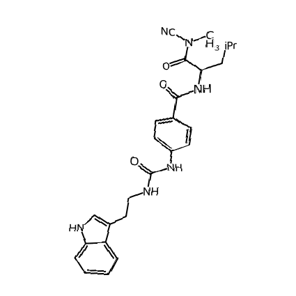 CC(C)CC(NC(=O)c1ccc(NC(=O)NCCc2c[nH]c3ccccc23)cc1)C(=O)N(C)C#N